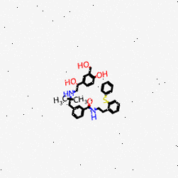 CC(C)(Cc1cccc(C(=O)NCCc2ccccc2Sc2ccccc2)c1)NC[C@@H](O)c1ccc(O)c(CO)c1